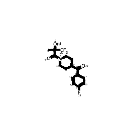 CC(O)(C(=O)N1CCC(C(=O)c2ccc(F)cc2)CC1)C(F)(F)F